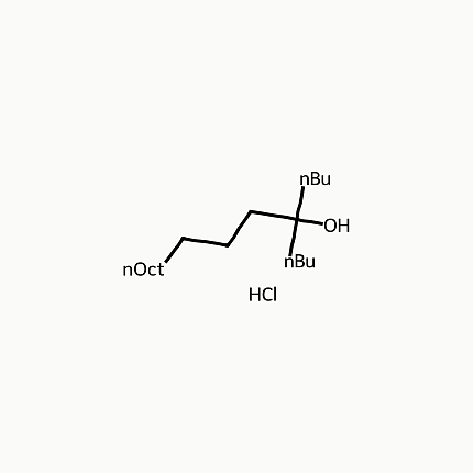 CCCCCCCCCCCC(O)(CCCC)CCCC.Cl